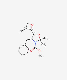 CC[C@H]1CO[C@@H]1[C@@H]1OC(C)(C)N(C(=O)OC(C)(C)C)[C@H]1CC1CCCCC1